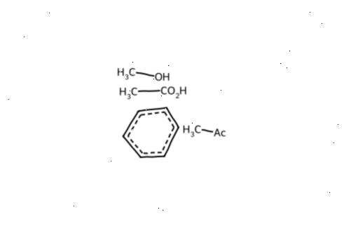 CC(=O)O.CC(C)=O.CO.c1ccccc1